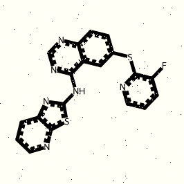 Fc1cccnc1Sc1ccc2ncnc(Nc3nc4cccnc4s3)c2c1